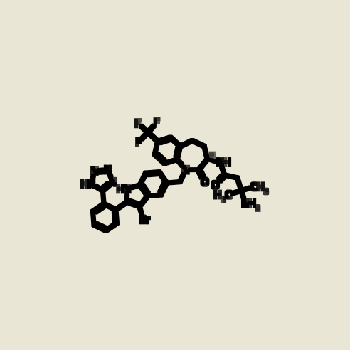 CC(C)(N)CC(=O)N[C@@H]1CCc2cc(C(F)(F)F)ccc2N(Cc2ccc3[nH]c(-c4ccccc4-c4nnn[nH]4)c(Br)c3c2)C1=O